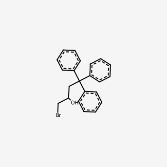 OC(CBr)CC(c1ccccc1)(c1ccccc1)c1ccccc1